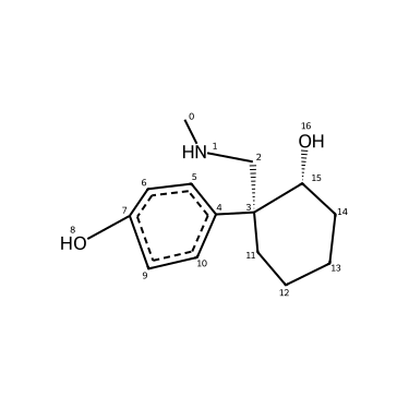 CNC[C@@]1(c2ccc(O)cc2)CCCC[C@H]1O